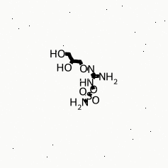 NC(=NOCC(O)CO)NOS(N)(=O)=O